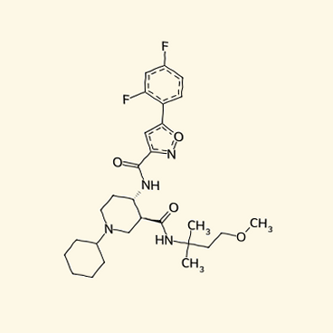 COCCC(C)(C)NC(=O)[C@H]1CN(C2CCCCC2)CC[C@@H]1NC(=O)c1cc(-c2ccc(F)cc2F)on1